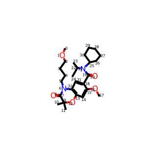 COCCCCN1C(=O)C(C)(C)Oc2cc(OC)c(C(=O)N(C(C)C)C3CCCCC3)cc21